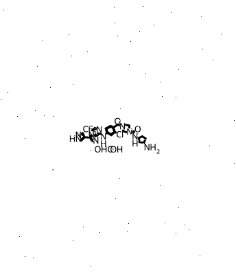 N[C@H]1CC[C@@H](NC(=O)N2CCN(C(=O)c3ccc(Nc4nccn5c(-c6c[nH]nc6C(F)(F)F)cnc45)cc3Cl)CC2)C1.O=CO